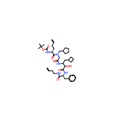 C=CCCNC(=O)[C@H](Cc1ccccc1)NC(=O)C(O)C(CC1CCC1)NC(=O)CN(CC1CCCC1)C(=O)[C@H](CCC=C)NC(=O)OC(C)(C)C